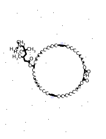 CC(CC(=O)OC1CCCCCCCC/C=C\CCCCCCCOC(=O)PC(=O)OCCCCCCC/C=C\CCCCCCCC1)CC(C)(C)CN(C)C